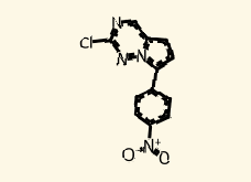 O=[N+]([O-])c1ccc(-c2ccc3cnc(Cl)nn23)cc1